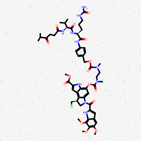 COC(=O)c1cc2c3c(cc(OC(=O)N(C)CCN(C)C(=O)OCc4ccc(NC(=O)[C@H](CCCNC(N)=O)NC(=O)[C@@H](NC(=O)CCC(=O)C(C)C)C(C)C)cc4)c2[nH]1)N(C(=O)c1cc2cc(OC)c(OC)c(OC)c2[nH]1)C[C@H]3CCl